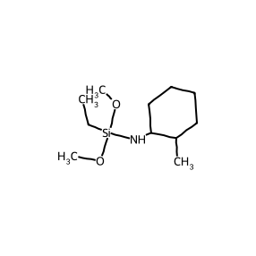 CC[Si](NC1CCCCC1C)(OC)OC